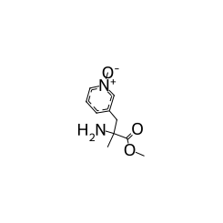 COC(=O)C(C)(N)Cc1ccc[n+]([O-])c1